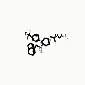 CCOC(=O)C[C@@H]1CC[C@@H](NCC23CC4CC(CC(C4)C2)C3)[C@H](c2ccc(C(F)(F)F)cc2)C1